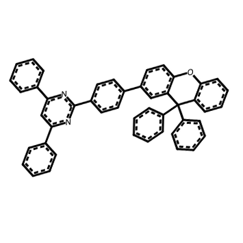 c1ccc(-c2cc(-c3ccccc3)nc(-c3ccc(-c4ccc5c(c4)C(c4ccccc4)(c4ccccc4)c4ccccc4O5)cc3)n2)cc1